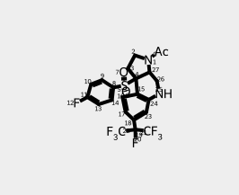 CC(=O)N1CCC2(S(=O)(=O)c3ccc(F)cc3)c3ccc(C(F)(C(F)(F)F)C(F)(F)F)cc3NCC12